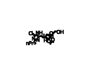 CCCSc1nc(Cl)c(N)c(CC[C@@H]2C[C@H](OCCO)[C@H]3OC(C)(C)O[C@@H]23)n1